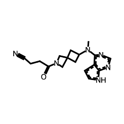 CN(c1ncnc2[nH]ccc12)C1CC2(C1)CN(C(=O)CCC#N)C2